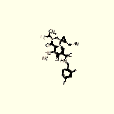 CC(C)N1C[C@]2(C[C@H]2CO)n2cc(C(=O)NCc3ccc(F)cc3F)c(=O)c(O)c2C1=O.Cl